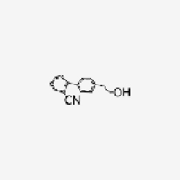 N#Cc1ccccc1-c1ccc(CCO)cc1